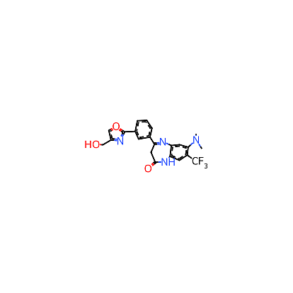 CN(C)c1cc2c(cc1C(F)(F)F)NC(=O)CC(c1cccc(-c3nc(CO)co3)c1)=N2